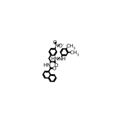 Cc1ccc(NNC(=O)C(Cc2ccc([N+](=O)[O-])cc2)NC(=O)c2cccc3ccccc23)cc1C